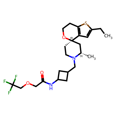 CCc1cc2c(s1)CCO[C@@]21CCN(CC2CC(NC(=O)COCC(F)(F)F)C2)[C@@H](C)C1